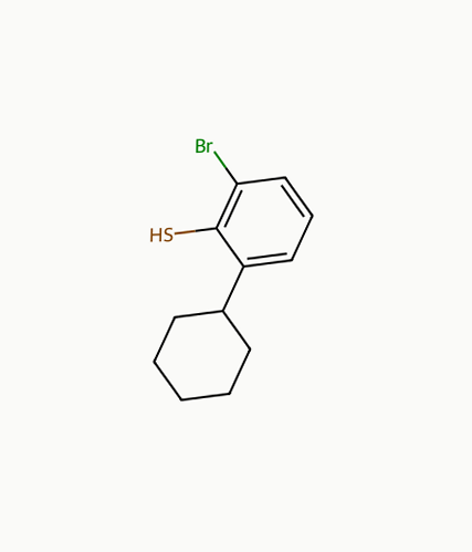 Sc1c(Br)cccc1C1CCCCC1